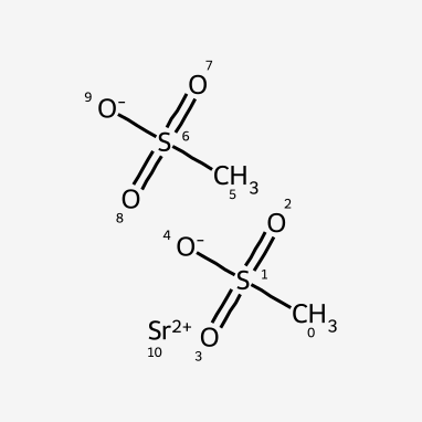 CS(=O)(=O)[O-].CS(=O)(=O)[O-].[Sr+2]